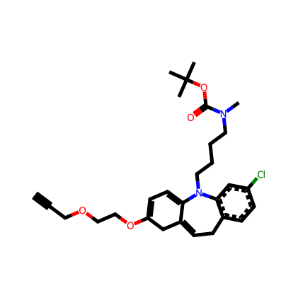 C#CCOCCOC1=CC=C2C(=CCc3ccc(Cl)cc3N2CCCCN(C)C(=O)OC(C)(C)C)C1